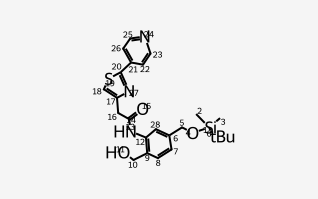 CC(C)(C)[Si](C)(C)OCc1ccc(CO)c(NC(=O)Cc2csc(-c3ccncc3)n2)c1